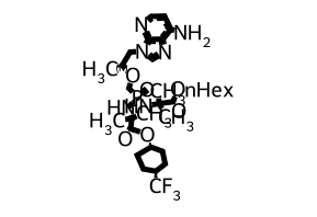 CCCCCCOC(=O)C(C)(C)NP(=O)(CO[C@H](C)Cn1cnc2c(N)ccnc21)NC(C)(C)C(=O)O[C@H]1CC[C@H](C(F)(F)F)CC1